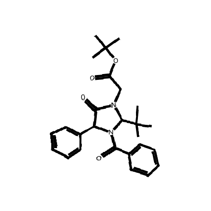 CC(C)(C)OC(=O)CN1C(=O)C(c2ccccc2)N(C(=O)c2ccccc2)C1C(C)(C)C